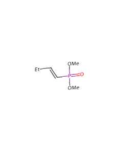 [CH2]CC=CP(=O)(OC)OC